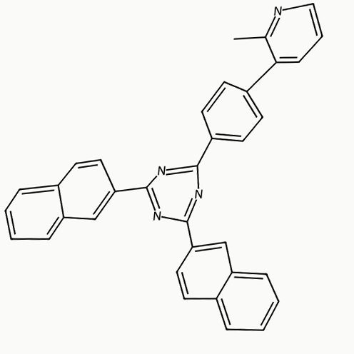 Cc1ncccc1-c1ccc(-c2nc(-c3ccc4ccccc4c3)nc(-c3ccc4ccccc4c3)n2)cc1